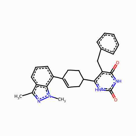 Cc1nn(C)c2c(C3=CCC(c4[nH]c(=O)[nH]c(=O)c4Cc4ccccc4)CC3)cccc12